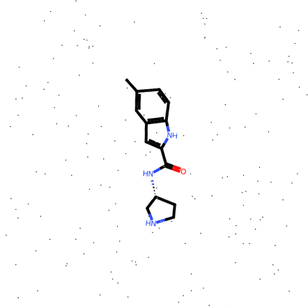 Cc1ccc2[nH]c(C(=O)N[C@@H]3CCNC3)cc2c1